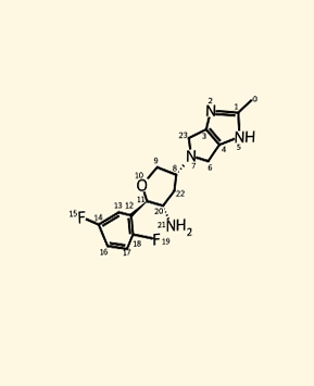 Cc1nc2c([nH]1)CN([C@H]1CO[C@H](c3cc(F)ccc3F)[C@@H](N)C1)C2